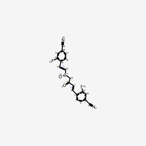 N#Cc1ccc(/C=C/C(=O)C[S+]([O-])/C=C/c2ccc(C#N)cc2F)c(F)c1